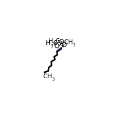 CCCCCCCCC/C=C/[Si](OC)(OC)OC